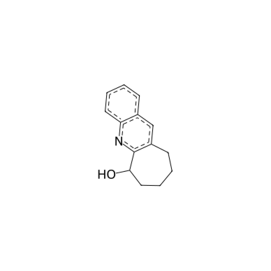 OC1CCCCc2cc3ccccc3nc21